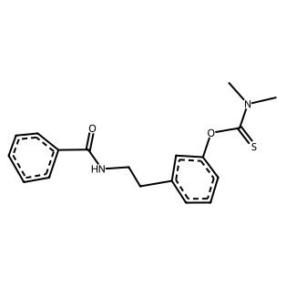 CN(C)C(=S)Oc1cccc(CCNC(=O)c2ccccc2)c1